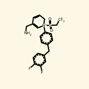 NCC1=C[N+](c2ccc(Cc3ccc(F)c(F)c3)cc2)(S(=O)(=O)CC(F)(F)F)CC=C1